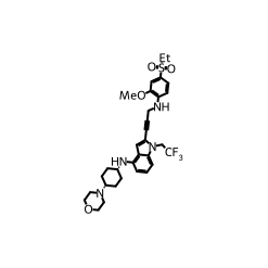 CCS(=O)(=O)c1ccc(NCC#Cc2cc3c(N[C@H]4CC[C@@H](N5CCOCC5)CC4)cccc3n2CC(F)(F)F)c(OC)c1